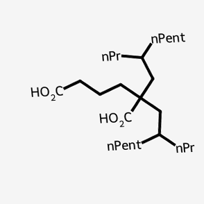 CCCCCC(CCC)CC(CCCC(=O)O)(CC(CCC)CCCCC)C(=O)O